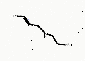 CC/C=C/CNCCCCCC